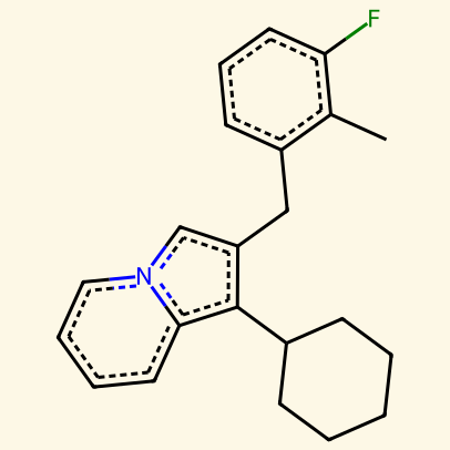 Cc1c(F)cccc1Cc1cn2ccccc2c1C1CCCCC1